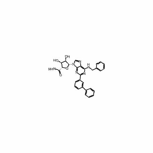 CNC(=O)[C@H]1O[C@@H](n2cnc3c(NCc4ccccc4)nc(-c4cccc(-c5ccccc5)c4)nc32)[C@H](O)[C@@H]1O